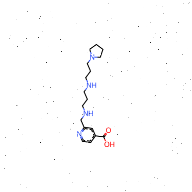 O=C(O)c1ccnc(CNCCCNCCCN2CCCC2)c1